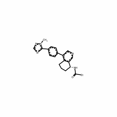 CCC(=O)N[C@@H]1CCCc2c(-c3ccc(-c4ncnn4C)cc3)cncc21